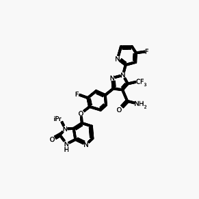 CC(C)n1c(=O)[nH]c2nccc(Oc3ccc(-c4nn(-c5cc(F)ccn5)c(C(F)(F)F)c4C(N)=O)cc3F)c21